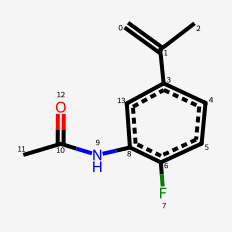 C=C(C)c1ccc(F)c(NC(C)=O)c1